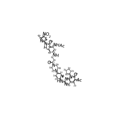 CC(=O)Nc1cc(NCCC(=O)N2CCN(c3ccc(Nc4ncc5c(C)c(C(C)=O)c(=O)n(C6CCCC6)c5n4)nc3)CC2)ccc1C(=O)Nc1nc(C)c([N+](=O)[O-])s1